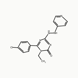 CCn1c(-c2ccc(Cl)cc2)nc(NNc2ccncc2)nc1=O